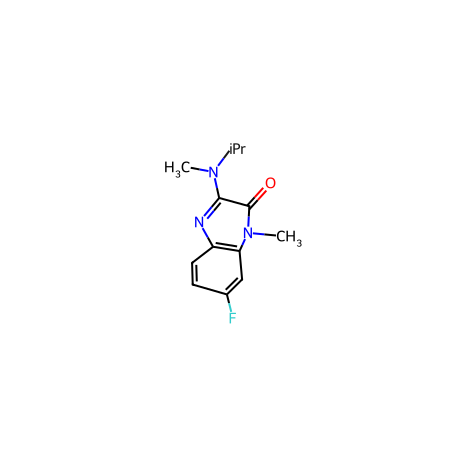 CC(C)N(C)c1nc2ccc(F)cc2n(C)c1=O